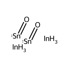 [InH3].[InH3].[O]=[Sn].[O]=[Sn]